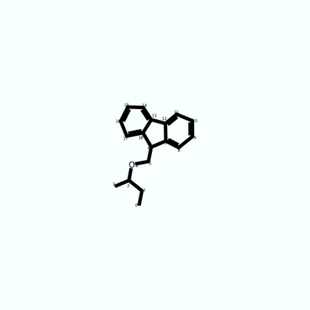 CCC(C)OCC1c2ccccc2-c2ccccc21